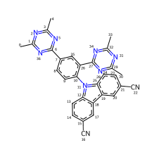 Cc1nc(C)nc(-c2ccc(-n3c4ccc(C#N)cc4c4cc(C#N)ccc43)c(-c3nc(C)nc(C)n3)c2)n1